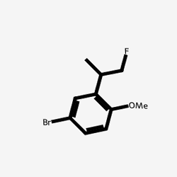 COc1ccc(Br)cc1[C](C)CF